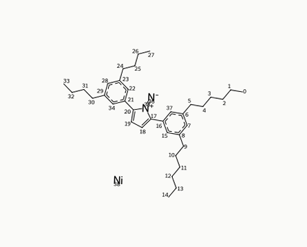 CCCCCCc1cc(CCCCCC)cc(C2=CC=C(c3cc(CCCC)cc(CCCC)c3)[N+]2=[N-])c1.[Ni]